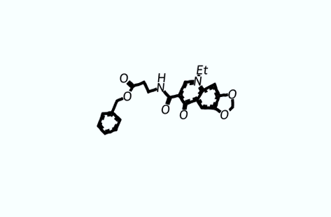 CCn1cc(C(=O)NCCC(=O)OCc2ccccc2)c(=O)c2cc3c(cc21)OCO3